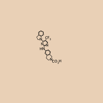 O=C(O)N1CCc2cc(Nc3ncc(C(F)(F)F)c(N4CCc5ccccc54)n3)ccc2C1